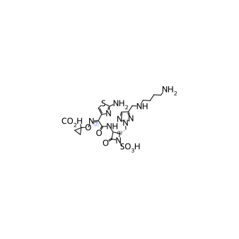 NCCCCNCc1cnn(C[C@H]2C(NC(=O)/C(=N\OC3(C(=O)O)CC3)c3csc(N)n3)C(=O)N2S(=O)(=O)O)n1